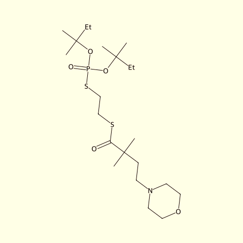 CCC(C)(C)OP(=O)(OC(C)(C)CC)SCCSC(=O)C(C)(C)CCN1CCOCC1